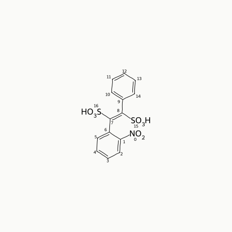 O=[N+]([O-])c1ccccc1C(=C(c1ccccc1)S(=O)(=O)O)S(=O)(=O)O